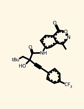 Cc1noc(=O)c2ccc(NC(=O)C(O)(C#Cc3ccc(C(F)(F)F)cc3)CC(C)(C)C)cc12